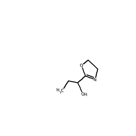 CCC(O)C1=NCCO1